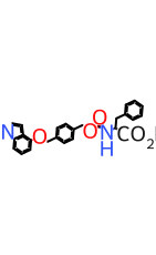 O=C(NC(Cc1ccccc1)C(=O)O)OCc1ccc(COc2cccc3[nH]ccc23)cc1